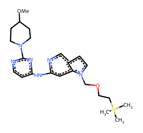 COC1CCN(c2nccc(Nc3cc4c(ccn4COCCS(C)(C)C)cn3)n2)CC1